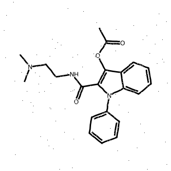 CC(=O)Oc1c(C(=O)NCCN(C)C)n(-c2ccccc2)c2ccccc12